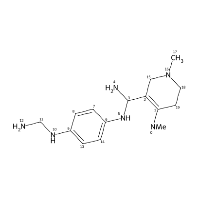 CNC1=C(C(N)Nc2ccc(NCN)cc2)CN(C)CC1